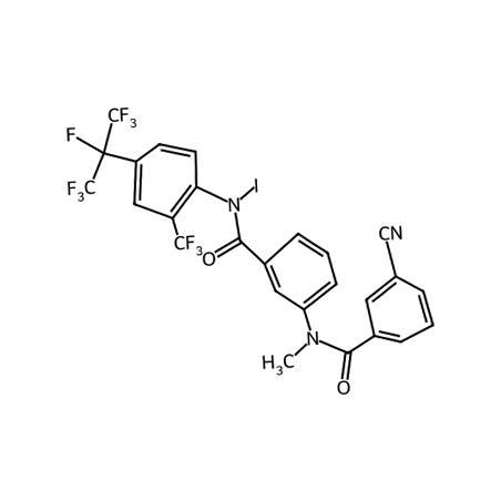 CN(C(=O)c1cccc(C#N)c1)c1cccc(C(=O)N(I)c2ccc(C(F)(C(F)(F)F)C(F)(F)F)cc2C(F)(F)F)c1